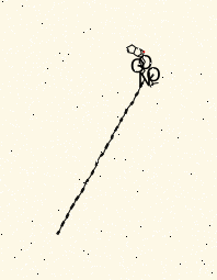 C#CC#CC#CC#CC#CC#CC#CC#CC#CC#CC#CC#CC#CC#CC#CC#CC#CC#CN(CCC(=O)OC1CC2CC1C1C=CCC21)C(=O)C(=C)C